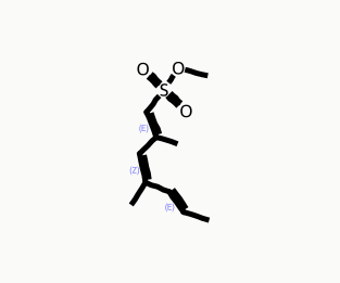 C/C=C/C(C)=C\C(C)=C\S(=O)(=O)OC